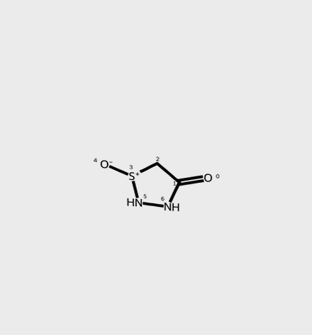 O=C1C[S+]([O-])NN1